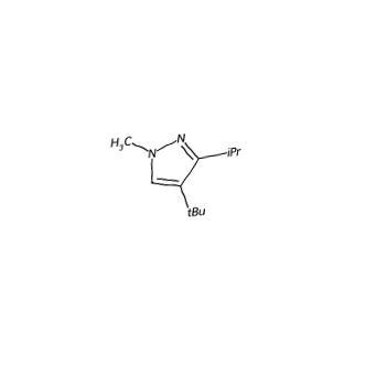 CC(C)c1nn(C)cc1C(C)(C)C